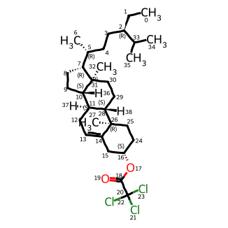 CC[C@H](CC[C@@H](C)[C@H]1CC[C@H]2[C@@H]3CC=C4C[C@@H](OC(=O)C(Cl)(Cl)Cl)CC[C@]4(C)[C@H]3CC[C@]12C)C(C)C